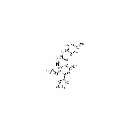 COC(=O)c1cc(Br)c2cc(Cc3ccc(F)cc3)cnc2c1OC